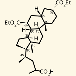 CCOC(=O)[C@@H]1CC[C@@]2(C)[C@@H](C1)C[C@H](C(=O)OCC)[C@@H]1[C@@H]2CC[C@]2(C)[C@@H]([C@H](C)CC(C)C(=O)O)CC[C@@H]12